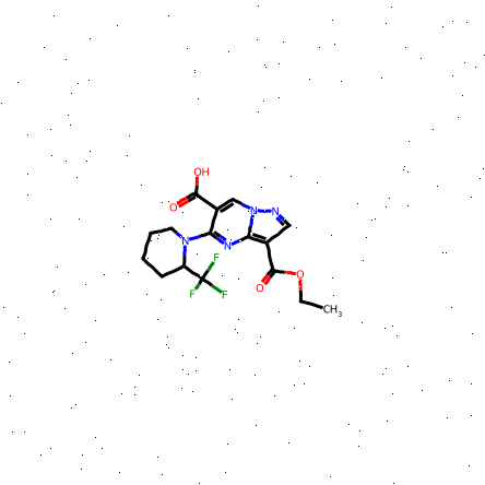 CCOC(=O)c1cnn2cc(C(=O)O)c(N3CCCCC3C(F)(F)F)nc12